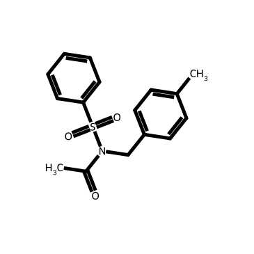 CC(=O)N(Cc1ccc(C)cc1)S(=O)(=O)c1ccccc1